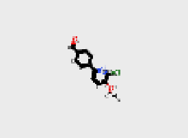 COc1ccc(C2CCC(C=O)CC2)nc1Cl